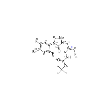 CC(C)(C)OC(=O)NC/C(=C\F)Cn1ncn(-c2cc(F)c(Br)cc2F)c1=O